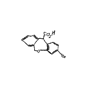 O=C(O)C1c2ccccc2COc2cc(Br)ccc21